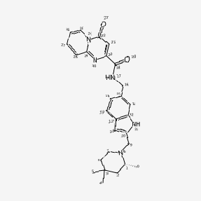 C[C@@H]1CC(C)(C)CCN1Cc1cc2ccc(CNC(=O)c3cc(=O)n4ccccc4n3)cc2[nH]1